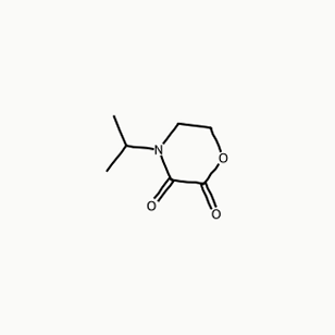 CC(C)N1CCOC(=O)C1=O